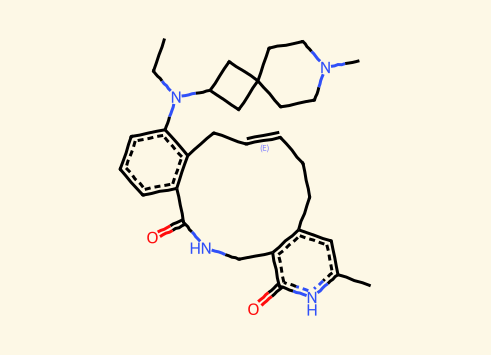 CCN(c1cccc2c1C/C=C/CCc1cc(C)[nH]c(=O)c1CNC2=O)C1CC2(CCN(C)CC2)C1